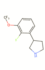 Fc1c(OC(F)(F)F)cccc1C1CCNC1